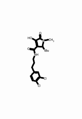 CN1C(=O)C(O)=C(C(=O)NCCCc2ccc(Cl)c(Cl)c2)C1C(C)(C)C